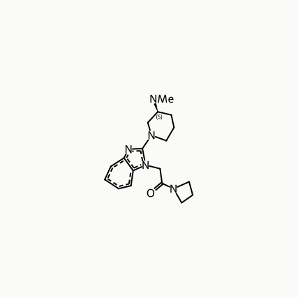 CN[C@H]1CCCN(c2nc3ccccc3n2CC(=O)N2CCC2)C1